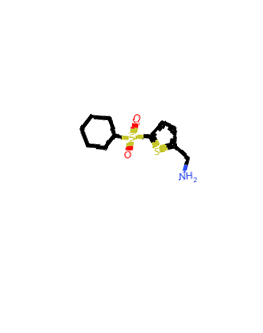 NCc1ccc(S(=O)(=O)C2CCCCC2)s1